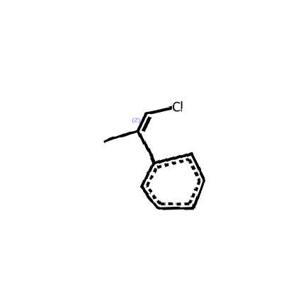 C/C(=C/Cl)c1ccccc1